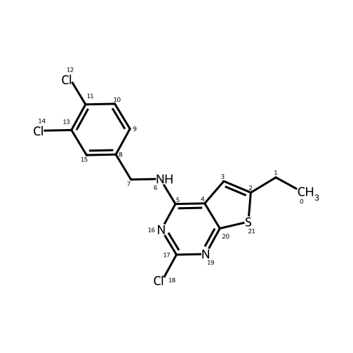 CCc1cc2c(NCc3ccc(Cl)c(Cl)c3)nc(Cl)nc2s1